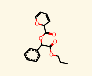 CCCOC(=O)C(OC(=O)C1C=CC=CO1)c1ccccc1